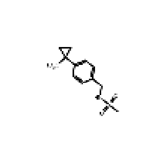 CS(=O)(=O)NCc1ccc(C2(C(=O)O)CC2)cc1